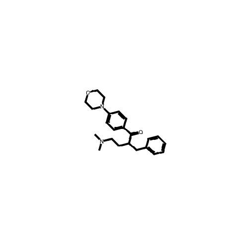 CN(C)CCC(Cc1ccccc1)C(=O)c1ccc(N2CCOCC2)cc1